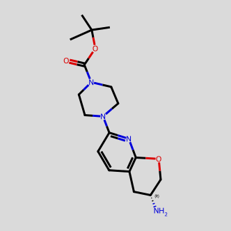 CC(C)(C)OC(=O)N1CCN(c2ccc3c(n2)OC[C@H](N)C3)CC1